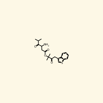 CC(C)C(=O)C(N)CC(=O)OC(C)(C)C(=O)Cc1csc2ccccc12